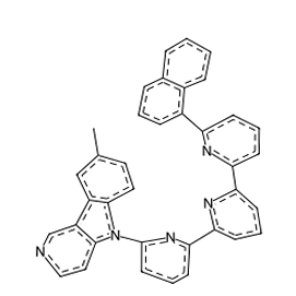 Cc1ccc2c(c1)c1cnccc1n2-c1cccc(-c2cccc(-c3cccc(-c4cccc5ccccc45)n3)n2)n1